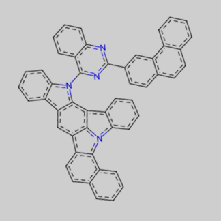 c1ccc2c(c1)ccc1ccc(-c3nc(-n4c5ccccc5c5cc6c7ccc8ccccc8c7n7c8ccccc8c(c54)c67)c4ccccc4n3)cc12